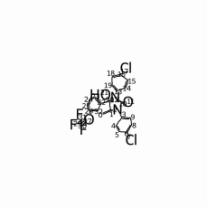 C=C1N(c2ccc(Cl)cc2)C(=O)N(c2ccc(Cl)cc2)C1(O)c1cccc(OC(F)(F)F)c1